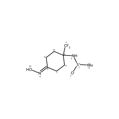 CC(C)(C)[S+]([O-])NC1(C(F)(F)F)CCC(=NO)CC1